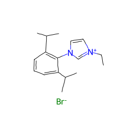 CC[n+]1ccn(-c2c(C(C)C)cccc2C(C)C)c1.[Br-]